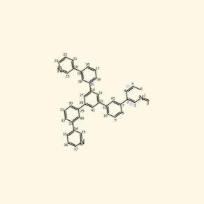 C=N/C=C(\C=C/C)c1cccc(-c2cc(-c3cccc(-c4cccnc4)c3)cc(-c3cccc(-c4cccnc4)c3)c2)c1